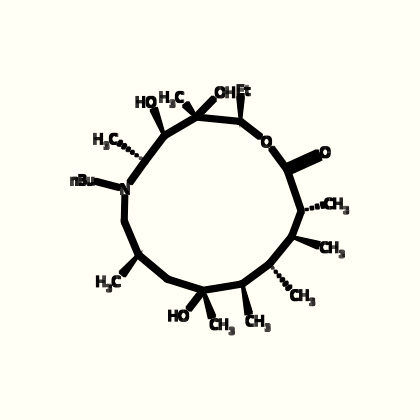 CCCCN1C[C@H](C)C[C@@](C)(O)[C@H](C)[C@@H](C)[C@H](C)[C@@H](C)C(=O)O[C@H](CC)[C@@](C)(O)[C@H](O)[C@H]1C